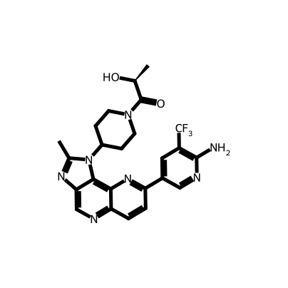 Cc1nc2cnc3ccc(-c4cnc(N)c(C(F)(F)F)c4)nc3c2n1C1CCN(C(=O)[C@H](C)O)CC1